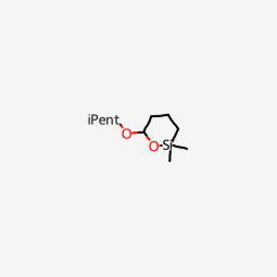 CCCC(C)OC1CCC[Si](C)(C)O1